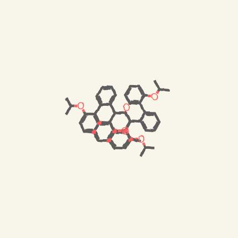 CC(C)Oc1ccccc1-c1ccccc1C(C(=O)C(c1ccccc1OC(C)C)c1ccccc1-c1ccccc1OC(C)C)c1ccccc1OC(C)C